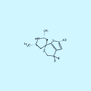 C[C@@H]1C[C@]2(C[C@H](C)N1)OCC(F)(F)c1cc(Cl)sc12